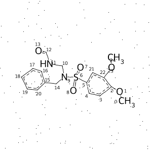 COc1ccc(S(=O)(=O)N(CNC=O)Cc2ccccc2)cc1OC